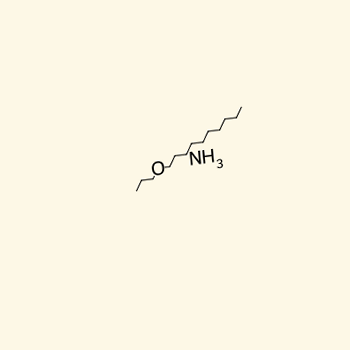 CCCCCCCCCCOCCC.N